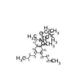 CCCCc1cc(CC(C)NC(=O)OC(C)(C)C)c(OC)cc1CCCC